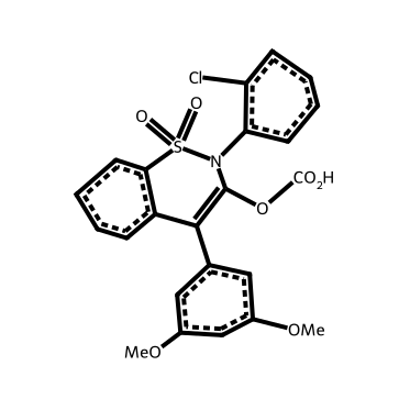 COc1cc(OC)cc(C2=C(OC(=O)O)N(c3ccccc3Cl)S(=O)(=O)c3ccccc32)c1